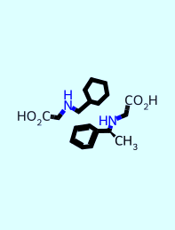 C[C@H](NCC(=O)O)c1ccccc1.O=C(O)CNCC1CCCCC1